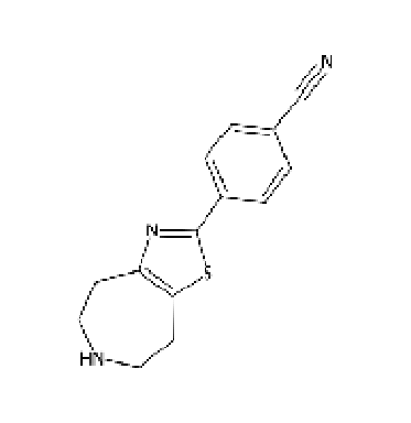 N#Cc1ccc(-c2nc3c(s2)CCNCC3)cc1